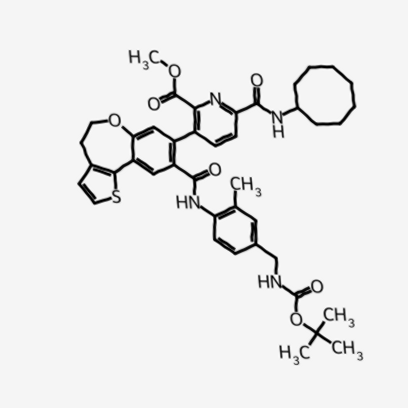 COC(=O)c1nc(C(=O)NC2CCCCCCC2)ccc1-c1cc2c(cc1C(=O)Nc1ccc(CNC(=O)OC(C)(C)C)cc1C)-c1sccc1CCO2